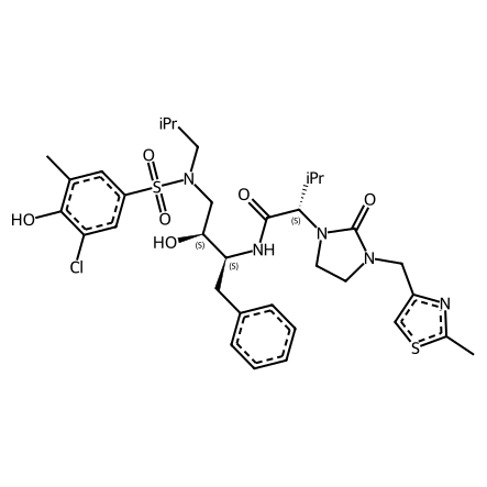 Cc1nc(CN2CCN([C@H](C(=O)N[C@@H](Cc3ccccc3)[C@@H](O)CN(CC(C)C)S(=O)(=O)c3cc(C)c(O)c(Cl)c3)C(C)C)C2=O)cs1